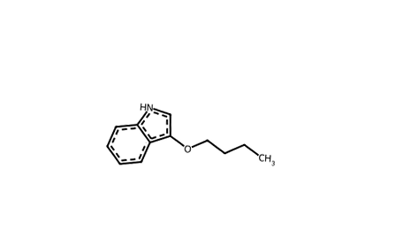 CCCCOc1c[nH]c2ccccc12